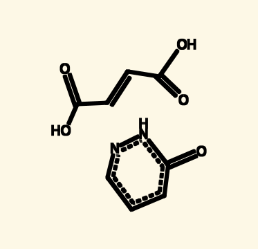 O=C(O)C=CC(=O)O.O=c1cccn[nH]1